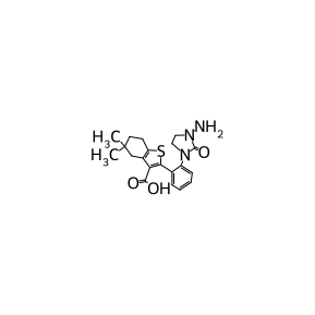 CC1(C)CCc2sc(-c3ccccc3N3CCN(N)C3=O)c(C(=O)O)c2C1